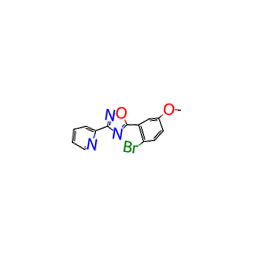 COc1ccc(Br)c(-c2nc(-c3ccccn3)no2)c1